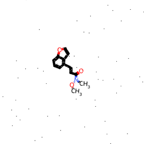 CON(C)C(=O)C=Cc1cccc2occc12